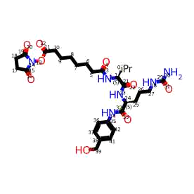 CC(C)[C@H](NC(=O)CCCCCCC(=O)ON1C(=O)CCC1=O)C(=O)N[C@@H](CCCNC(N)=O)C(=O)Nc1ccc(CO)cc1